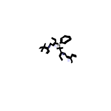 C=C/C(C)=C\C=C(/C=C)C(C)(C)N(/C(C=C)=C/C=C(\C=C)C(C)(C)C)c1ccccc1